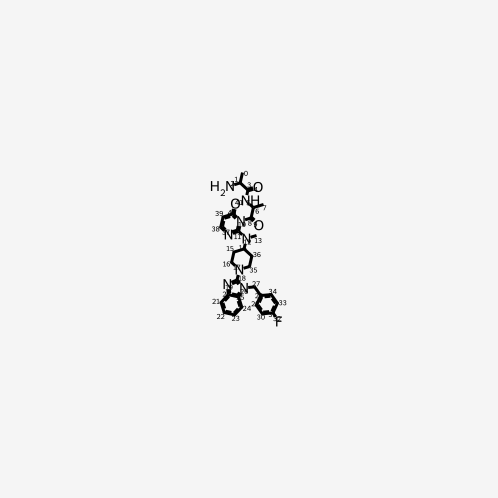 CC(N)C(=O)NC(C)C(=O)n1c(N(C)C2CCN(c3nc4ccccc4n3Cc3ccc(F)cc3)CC2)nccc1=O